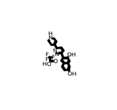 O=C(O)C(F)(F)F.Oc1ccc2cc(-c3ccc(C4=CCNCC4)nn3)c(O)cc2c1